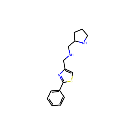 c1ccc(-c2nc(CNCC3CCCN3)cs2)cc1